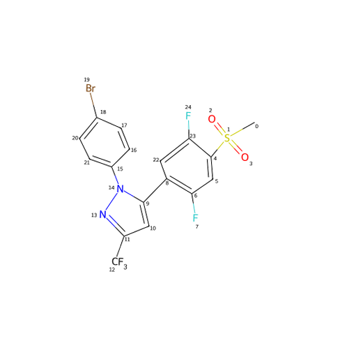 CS(=O)(=O)c1cc(F)c(-c2cc(C(F)(F)F)nn2-c2ccc(Br)cc2)cc1F